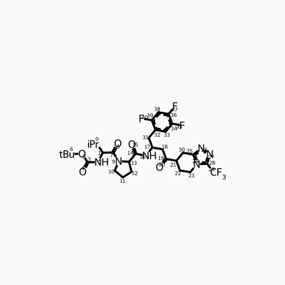 CC(C)C(NC(=O)OC(C)(C)C)C(=O)N1CCCC1C(=O)NC(CC(=O)C1CCn2c(nnc2C(F)(F)F)C1)Cc1cc(F)c(F)cc1F